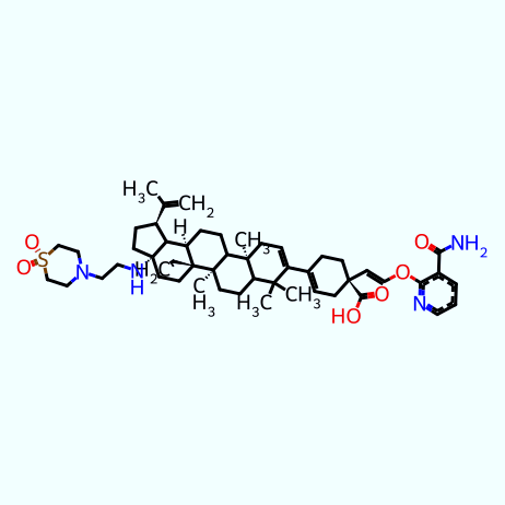 C=C[C@@]12CC[C@@]3(NCCN4CCS(=O)(=O)CC4)CC[C@@H](C(=C)C)C3[C@H]1CCC1[C@@]3(C)CC=C(C4=CC[C@](/C=C/Oc5ncccc5C(N)=O)(C(=O)O)CC4)C(C)(C)C3CC[C@]12C